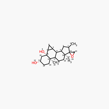 CC1CC2C3C4CC4[C@]4(O)C[C@@H](O)CC[C@]4(C)C3CC[C@]2(C)[C@]12CO2